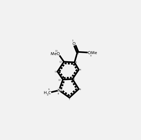 COC(=O)c1cc2ccn(C)c2cc1OC